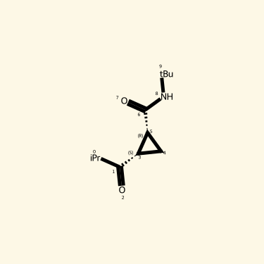 CC(C)C(=O)[C@H]1C[C@H]1C(=O)NC(C)(C)C